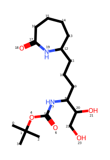 CC(C)(C)OC(=O)NC(CCCC1CCCCC(=O)N1)C(O)CO